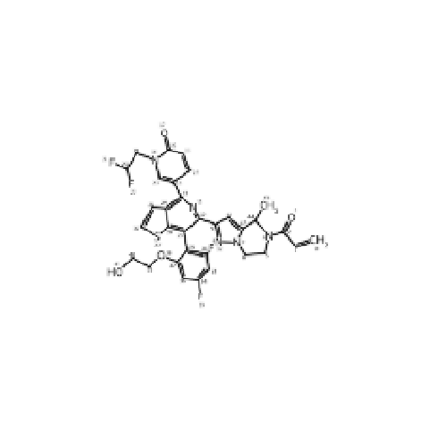 C=CC(=O)N1CCn2nc(-c3nc(-c4ccc(=O)n(CC(F)F)c4)c4ccsc4c3-c3c(F)cc(F)cc3OCCO)cc2C1C